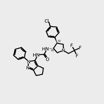 O=C(Nc1c2c(nn1-c1ccccc1)CCC2)N[C@H]1CN(CC(F)(F)F)C[C@@H]1c1ccc(Cl)cc1